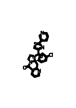 O=C(c1csc(-c2cccnc2)n1)N1CCN2C(=O)c3cccnc3C[C@]12c1ccc(Cl)cc1